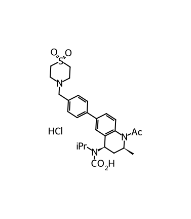 CC(=O)N1c2ccc(-c3ccc(CN4CCS(=O)(=O)CC4)cc3)cc2[C@H](N(C(=O)O)C(C)C)C[C@@H]1C.Cl